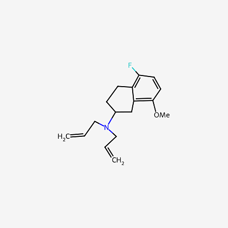 C=CCN(CC=C)C1CCc2c(F)ccc(OC)c2C1